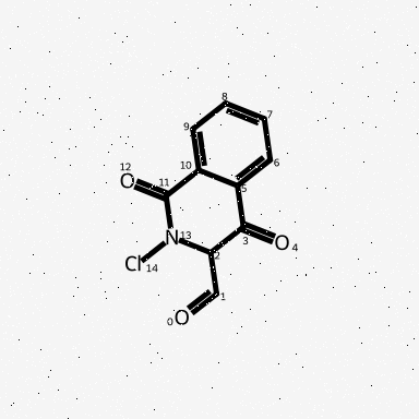 O=CC1C(=O)c2ccccc2C(=O)N1Cl